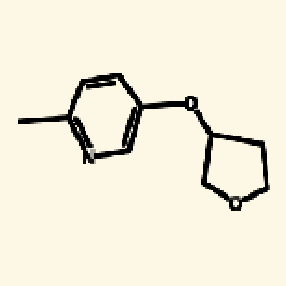 Cc1ccc(OC2CCOC2)cn1